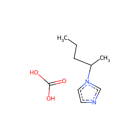 CCCC(C)n1ccnc1.O=C(O)O